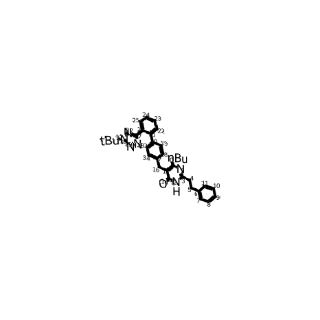 CCCCc1nc(CCc2ccccc2)[nH]c(=O)c1Cc1ccc(-c2ccccc2-c2nnn(C(C)(C)C)n2)cc1